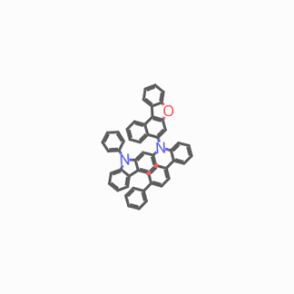 c1ccc(-c2ccc(-c3ccccc3N(c3ccc4c5ccccc5n(-c5ccccc5)c4c3)c3cc4oc5ccccc5c4c4ccccc34)cc2)cc1